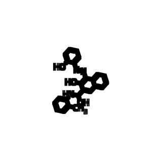 Cc1ccccc1NC(O)c1cc2ccccc2c(N=Nc2ccccc2O)c1O